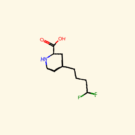 O=C(O)C1CC(CCCC(F)F)CCN1